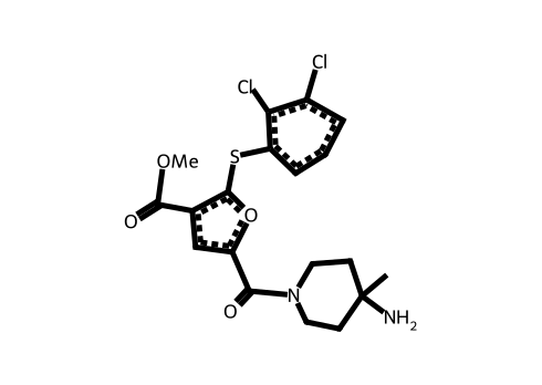 COC(=O)c1cc(C(=O)N2CCC(C)(N)CC2)oc1Sc1cccc(Cl)c1Cl